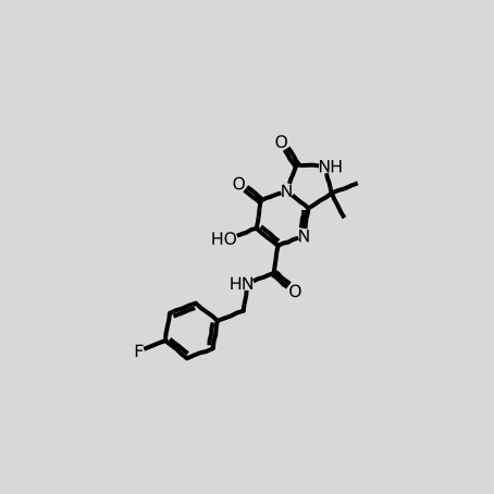 CC1(C)NC(=O)n2c1nc(C(=O)NCc1ccc(F)cc1)c(O)c2=O